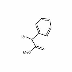 [CH]=C(OC)C(CCC)c1ccccc1